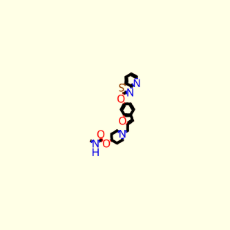 CNC(=O)OC1CCN(Cc2cc3ccc(Oc4nc5ncccc5s4)cc3o2)CC1